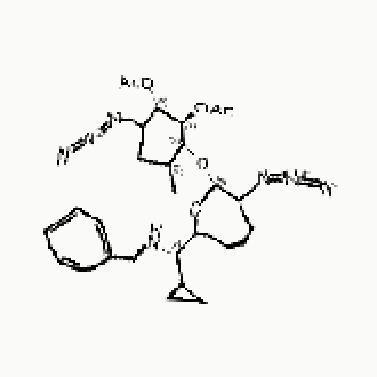 CC(=O)O[C@H]1[C@H](O[C@H]2OC([C@@H](NCc3ccccc3)C3CC3)CCC2N=[N+]=[N-])[C@@H](C)CC(N=[N+]=[N-])[C@@H]1OC(C)=O